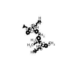 CCCCOC1(c2ccccc2C)CN(C(=O)[C@@H](Cc2ccc(OC)cc2)NC(=O)CCc2c[nH]cn2)C1.COc1ccc(C[C@H](NC(=O)CCc2c[nH]cn2)C(=O)N2CC(OCC3CC3)(c3ccccc3C)C2)cc1